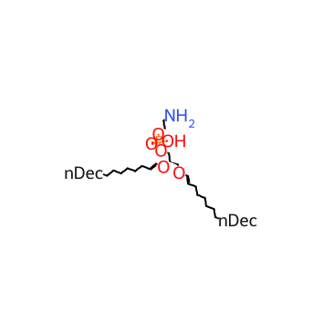 CCCCCCCCCCCCCCCCC=COC[C@H](COP(=O)(O)OCCN)OC=CCCCCCCCCCCCCCCCC